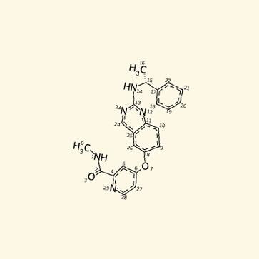 CNC(=O)c1cc(Oc2ccc3nc(N[C@H](C)c4ccccc4)ncc3c2)ccn1